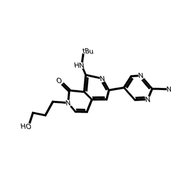 CC(C)(C)Nc1nc(-c2cnc(N)nc2)cc2ccn(CCCO)c(=O)c12